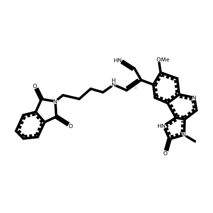 COc1cc2ncc3c([nH]c(=O)n3C)c2cc1/C(C=N)=C/NCCCCN1C(=O)c2ccccc2C1=O